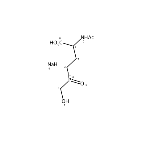 CC(=O)NC(CC[PH](=O)CO)C(=O)O.[NaH]